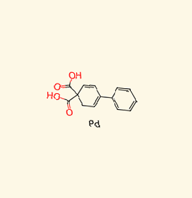 O=C(O)C1(C(=O)O)C=CC(c2ccccc2)=CC1.[Pd]